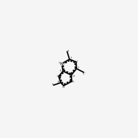 [CH2]c1cc(C)nc2cc(C)ccc12